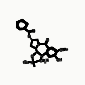 COc1cc2c(cc1O)N(C(=O)O)[C@@H](O[Si](C)(C)C(C)(C)C)C1C[C@H](OC(=O)c3ccccc3)CN1C2=O